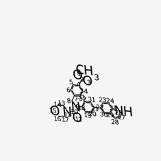 COC(=O)c1ccc(CN(C(=O)N2CCOCC2)c2ccc(-c3ccc4[nH]ccc4c3)cc2)cc1